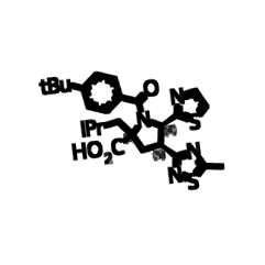 Cc1nc([C@H]2C[C@@](CC(C)C)(C(=O)O)N(C(=O)c3ccc(C(C)(C)C)cc3)[C@H]2c2nccs2)ns1